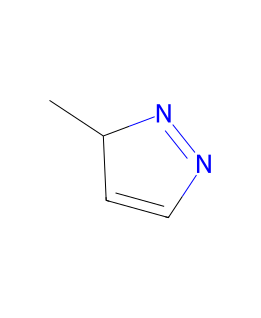 CC1C=CN=N1